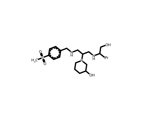 CC(C)C(CO)NCC(CNCc1ccc(S(C)(=O)=O)cc1)N1CCCC(O)C1